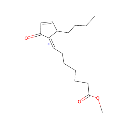 CCCCC1C=CC(=O)/C1=C/CCCCCC(=O)OC